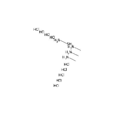 CN.CN.CN.Cl.Cl.Cl.Cl.Cl.Cl.Cl.Cl.Cl.[SiH3][SiH3]